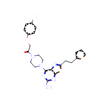 Nc1nc(N2CCN(C(=O)COc3ccc(Cl)cc3)CC2)c2nc(CCc3cccs3)sc2n1